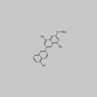 CCCCCCCCCCSc1cc(S)c2cc(-c3ccc4c(S)cccc4c3)cc(S)c2c1